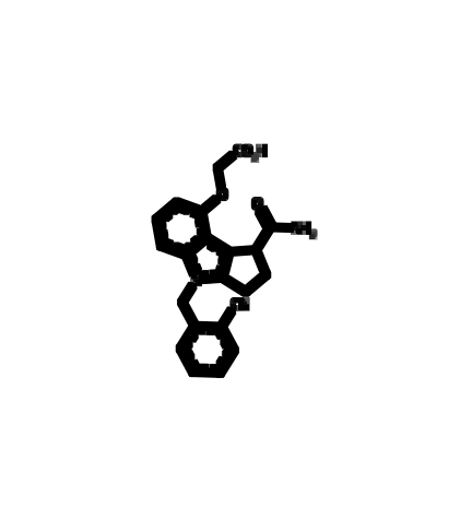 N#Cc1ccccc1Cn1c2c(c3c(OCC(=O)O)cccc31)C(C(N)=O)CC2